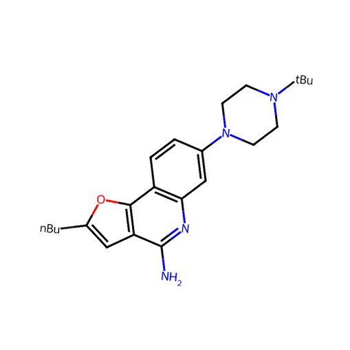 CCCCc1cc2c(N)nc3cc(N4CCN(C(C)(C)C)CC4)ccc3c2o1